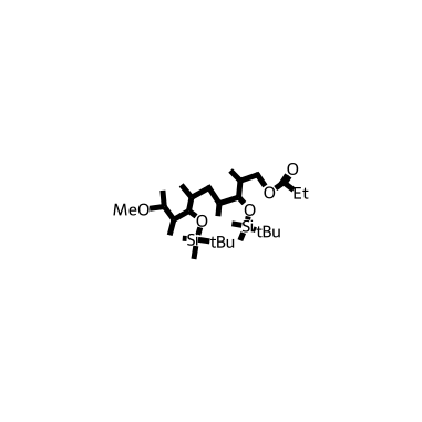 CCC(=O)OCC(C)C(O[Si](C)(C)C(C)(C)C)C(C)CC(C)C(O[Si](C)(C)C(C)(C)C)C(C)C(C)OC